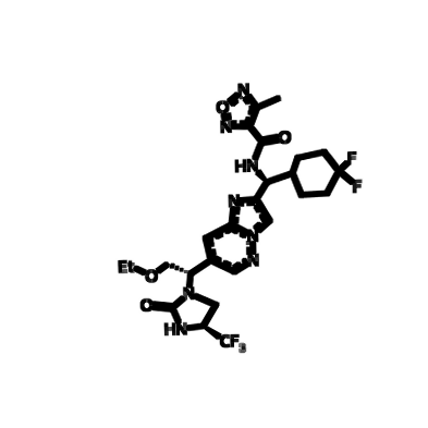 CCOC[C@H](c1cnn2cc([C@@H](NC(=O)c3nonc3C)C3CCC(F)(F)CC3)nc2c1)N1C[C@@H](C(F)(F)F)NC1=O